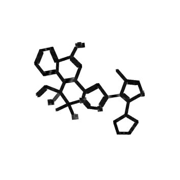 C=CC1(CC)c2c(cc(C(C)(C)C)c3ccccc23)-c2cc(-c3c(C)csc3C3CCCC3)nc[n+]2C1(C)CC